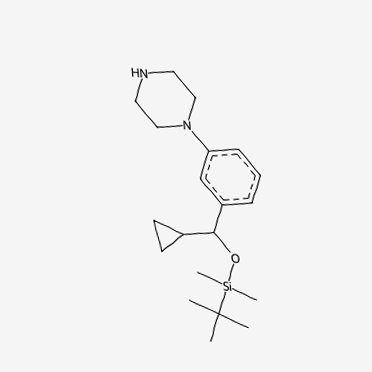 CC(C)(C)[Si](C)(C)OC(c1cccc(N2CCNCC2)c1)C1CC1